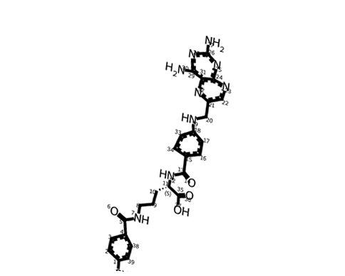 Cc1ccc(C(=O)NCCC[C@H](NC(=O)c2ccc(NCc3cnc4nc(N)nc(N)c4n3)cc2)C(=O)O)cc1